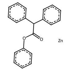 O=C(Oc1ccccc1)C(c1ccccc1)c1ccccc1.[Zn]